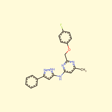 Cc1cc(Nc2cc(-c3ccccc3)n[nH]2)nc(COc2ccc(F)cc2)n1